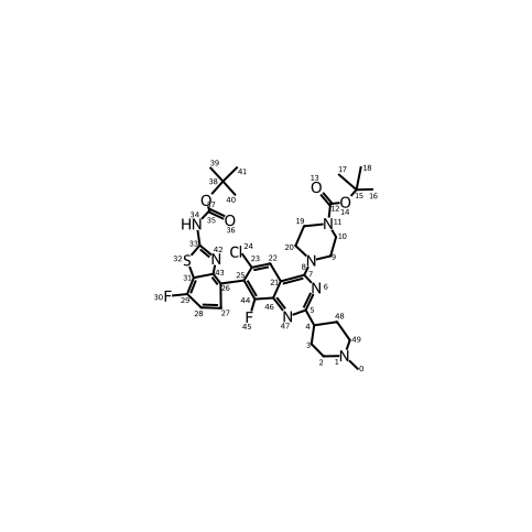 CN1CCC(c2nc(N3CCN(C(=O)OC(C)(C)C)CC3)c3cc(Cl)c(-c4ccc(F)c5sc(NC(=O)OC(C)(C)C)nc45)c(F)c3n2)CC1